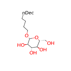 CCCCCCCCCCCCCCO[C@@H]1O[C@H](CO)[C@@H](O)[C@H](O)[C@H]1O